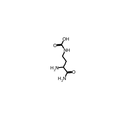 NC(=O)C(N)CCNC(=O)O